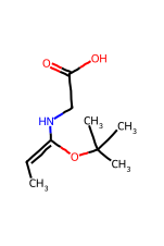 CC=C(NCC(=O)O)OC(C)(C)C